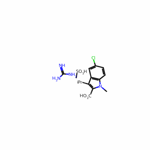 CC(C)c1c(C(=O)O)n(C)c2ccc(Cl)cc12.CS(=O)(=O)O.N=C(N)N